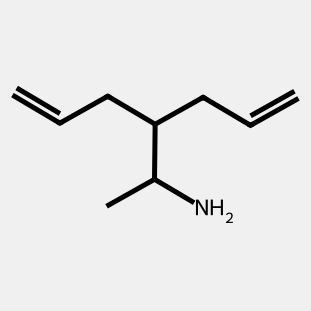 C=CCC(CC=C)C(C)N